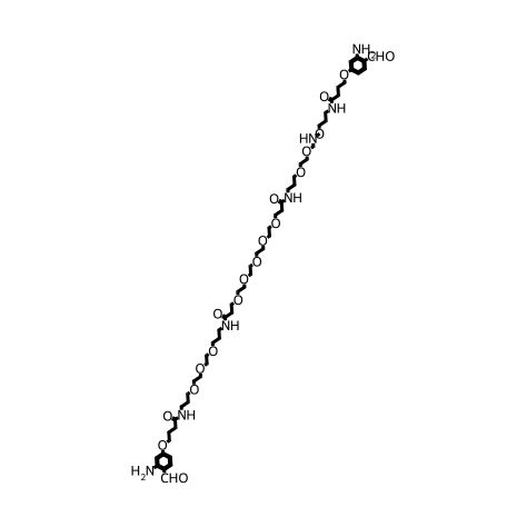 Nc1cc(OCCCC(=O)NCCCOCCOCCOCCCNC(=O)CCOCCOCCOCCOCCOCCC(=O)NCCCOCCOCNOCCCNC(=O)CCCOc2ccc(C=O)c(N)c2)ccc1C=O